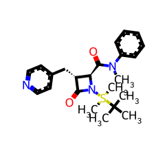 CN(C(=O)[C@@H]1[C@@H](Cc2ccncc2)C(=O)N1S(C)(C)C(C)(C)C)c1ccccc1